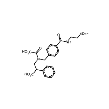 CCCCCCCCCCCCNC(=O)c1ccc(CN(CC(C(=O)O)c2ccccc2)C(=O)C(=O)O)cc1